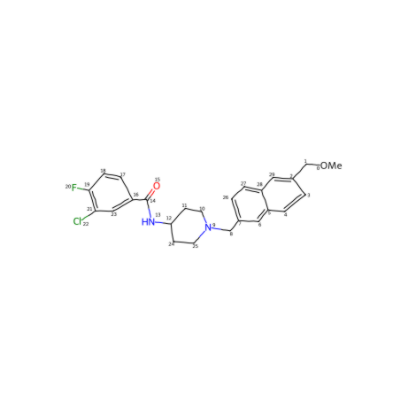 COCc1ccc2cc(CN3CCC(NC(=O)c4ccc(F)c(Cl)c4)CC3)ccc2c1